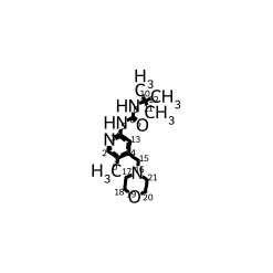 Cc1cnc(NC(=O)NC(C)(C)C)cc1CN1CCOCC1